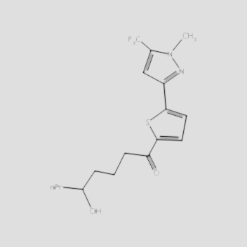 CCCC(O)CCCC(=O)c1ccc(-c2cc(C(F)(F)F)n(C)n2)s1